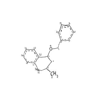 CC1CC(OCc2ccccc2)c2ccccc2N1